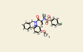 C=C(C(=O)NCc1ccccc1-c1ccc(OC(F)(F)F)cc1)N(CC)S(=O)(=O)c1ccc(F)cc1